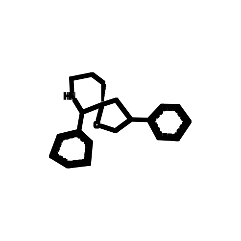 c1ccc(C2CO[C@]3(CCCNC3c3ccccc3)C2)cc1